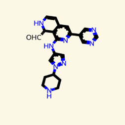 O=CC1NC=Cc2cc(-c3cncnc3)nc(Nc3cnn(C4CCNCC4)c3)c21